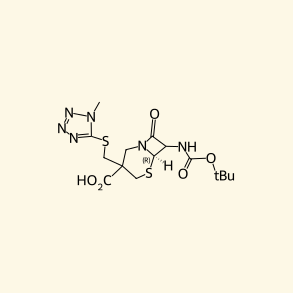 Cn1nnnc1SCC1(C(=O)O)CS[C@@H]2C(NC(=O)OC(C)(C)C)C(=O)N2C1